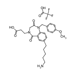 COc1ccc(CN2C(=O)CN(CCC(=O)O)C(=O)c3cc(CCCCCN)ccc32)cc1.O=C(O)C(F)(F)F